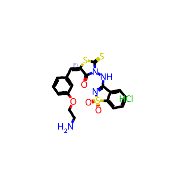 Cl.NCCOc1cccc(/C=C2/SC(=S)N(NC3=NS(=O)(=O)c4ccccc43)C2=O)c1